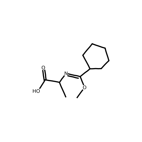 COC(=NC(C)C(=O)O)C1CCCCC1